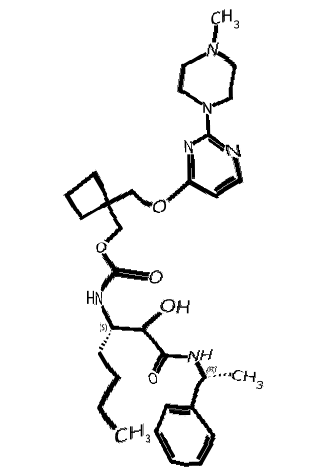 CCCC[C@H](NC(=O)OCC1(COc2ccnc(N3CCN(C)CC3)n2)CCC1)C(O)C(=O)N[C@H](C)c1ccccc1